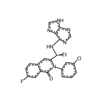 CC[C@H](Nc1ncnc2[nH]cnc12)c1cc2ccc(F)cc2c(=O)n1-c1cccc(Cl)c1